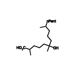 CCCCCC(C)CCCC(C)(O)CCCC(C)C(=O)O